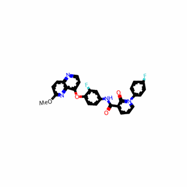 COc1ccc2nccc(Oc3ccc(NC(=O)c4cccn(-c5ccc(F)cc5)c4=O)cc3F)c2n1